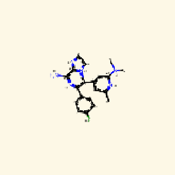 Cc1cc(-c2c(-c3ccc(F)cc3)nc(N)c3nccn23)cc(N(C)C)n1